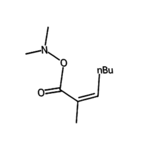 CCCCC=C(C)C(=O)ON(C)C